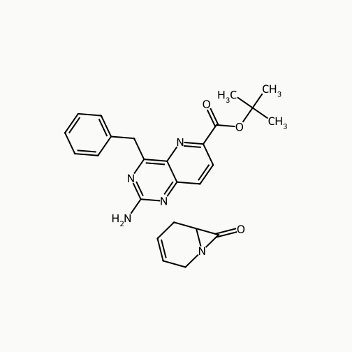 CC(C)(C)OC(=O)c1ccc2nc(N)nc(Cc3ccccc3)c2n1.O=C1C2CC=CCN12